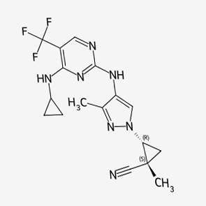 Cc1nn([C@@H]2C[C@]2(C)C#N)cc1Nc1ncc(C(F)(F)F)c(NC2CC2)n1